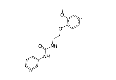 COc1c[c]ccc1OCCNC(=O)Nc1cccnc1